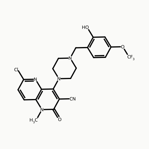 Cn1c(=O)c(C#N)c(N2CCN(Cc3ccc(OC(F)(F)F)cc3O)CC2)c2nc(Cl)ccc21